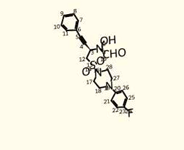 O=CN(O)[C@H](C#Cc1ccccc1)CS(=O)(=O)N1CCN(c2ccc(F)cc2)CC1